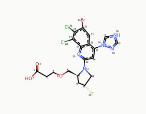 O=C(O)CCOC[C@@H]1C[C@@H](F)CN1c1cc(-[n+]2c[nH]cn2)c2cc(Br)c(Cl)c(Cl)c2n1